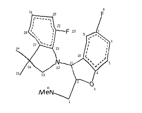 CNCC1Oc2ccc(F)cc2C1N1CC(C)(C)c2cccc(F)c21